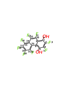 Oc1c(F)c(F)c(O)c2c1c(F)c(F)c1c(F)c(F)c(F)c(F)c12